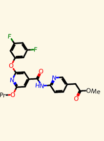 COC(=O)Cc1ccc(NC(=O)c2cc(Oc3cc(F)cc(F)c3)nc(OC(C)C)c2)nc1